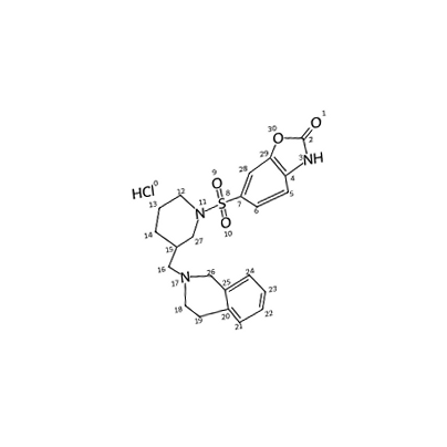 Cl.O=c1[nH]c2ccc(S(=O)(=O)N3CCCC(CN4CCc5ccccc5C4)C3)cc2o1